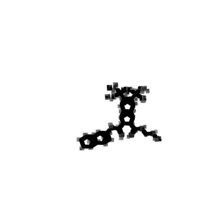 CCOCOC(=O)C1C2CC(C1C(=O)OC1CC3CC1C1C4CCC(C4)C31)C1C2C2CC1[C@@H](C(C)(C)CC)[C@H]2C(C)(C)CC